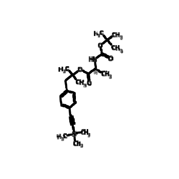 C[C@H](NC(=O)OC(C)(C)C)C(=O)OC(C)(C)Cc1ccc(C#C[Si](C)(C)C)cc1